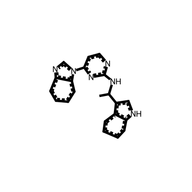 CC(Nc1nccc(-n2cnc3ccccc32)n1)c1c[nH]c2ccccc12